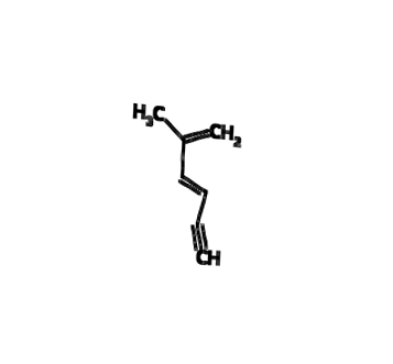 C#CC=CC(=C)C